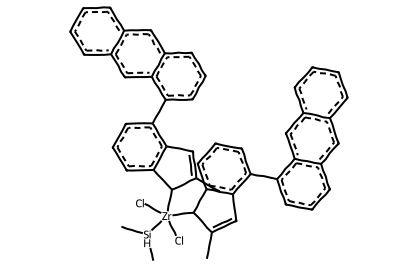 CC1=Cc2c(-c3cccc4cc5ccccc5cc34)cccc2[CH]1[Zr]([Cl])([Cl])([CH]1C(C)=Cc2c(-c3cccc4cc5ccccc5cc34)cccc21)[SiH](C)C